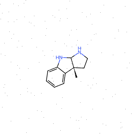 C[C@]12CCNC1Nc1ccccc12